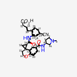 CN1CC[C@H](NC(=O)c2ccc3c(c2)[C@]2(CCO3)C[C@H]2C(=O)Nc2cc(C#N)ccc2CCCC(=O)O)C1